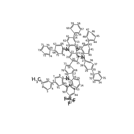 Cc1cccc(-c2ccc(-n3c4ccccc4c4cc(-c5cc6c7c(c5)N(c5ccc(-c8ccccc8)cc5)c5ccc(-c8ccccc8)cc5B7c5cc(-c7ccccc7)ccc5N6c5ccc(-c6ccccc6)cc5)ccc43)c(-c3cccc(C(F)(F)F)c3)c2)c1